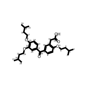 CC(C)CCOc1ccc(C(=O)c2ccc(OCCC(C)C)c(OCCC(C)C)c2)cc1CC(=O)O